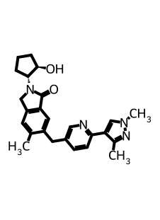 Cc1cc2c(cc1Cc1ccc(-c3cn(C)nc3C)nc1)C(=O)N([C@@H]1CCC[C@H]1O)C2